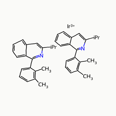 Cc1cccc(-c2nc(C(C)C)cc3ccccc23)c1C.Cc1cccc(-c2nc(C(C)C)cc3ccccc23)c1C.[Ir+3]